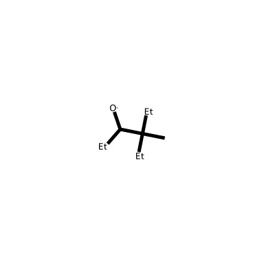 CCC([O])C(C)(CC)CC